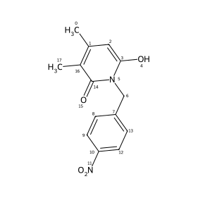 Cc1cc(O)n(Cc2ccc([N+](=O)[O-])cc2)c(=O)c1C